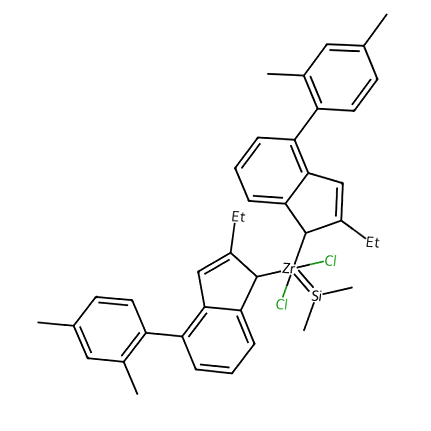 CCC1=Cc2c(-c3ccc(C)cc3C)cccc2[CH]1[Zr]([Cl])([Cl])([CH]1C(CC)=Cc2c(-c3ccc(C)cc3C)cccc21)=[Si](C)C